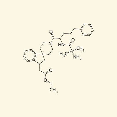 CCOC(=O)CC1CC2(CCN(C(=O)C(CCCc3ccccc3)NC(=O)C(C)(C)N)CC2)c2ccccc21